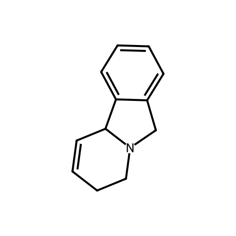 C1=CC2c3ccccc3CN2CC1